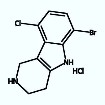 Cl.Clc1ccc(Br)c2[nH]c3c(c12)CNCC3